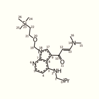 CC(C)CNc1ccnc2c1c(C(=O)C=CN(C)C)cn2COCC[Si](C)(C)C